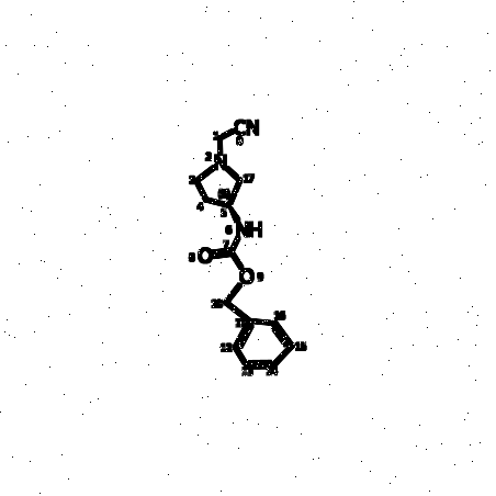 N#CCN1CC[C@H](NC(=O)OCc2ccccc2)C1